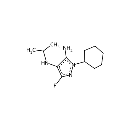 CC(C)Nc1c(F)nn(C2CCCCC2)c1N